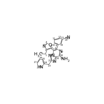 CCc1ncoc1-c1c(-c2cccc(C#N)c2)nc(N)c2nc(Cc3ccccn3)nn12